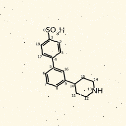 O=S(=O)(O)c1ccc(-c2cccc(C3CCNCC3)c2)cc1